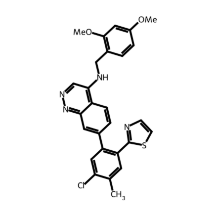 COc1ccc(CNc2cnnc3cc(-c4cc(Cl)c(C)cc4-c4nccs4)ccc23)c(OC)c1